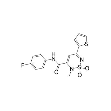 CN1C(C(=O)Nc2ccc(F)cc2)=CC(c2cccs2)=NS1(=O)=O